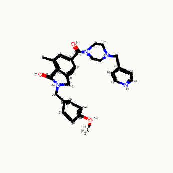 Cc1cc(C(=O)N2CCN(Cc3ccncc3)CC2)cc2c1C(=O)N(Cc1ccc(OC(F)(F)F)cc1)C2